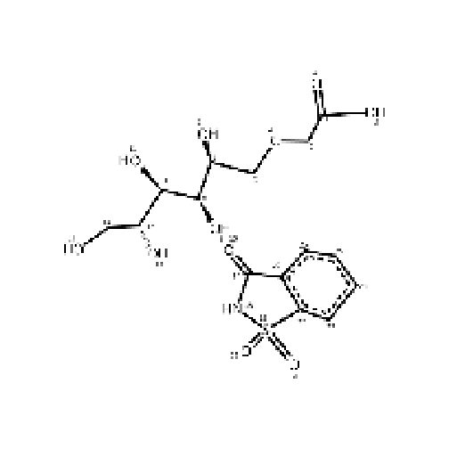 O=C(O)COC[C@H](O)[C@@H](O)[C@H](O)[C@H](O)CO.O=C1NS(=O)(=O)c2ccccc21